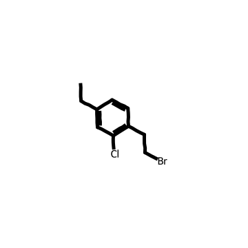 CCc1ccc(CCBr)c(Cl)c1